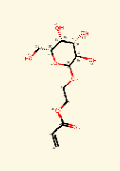 C=CC(=O)OCCO[C@H]1O[C@H](CO)[C@H](O)[C@H](O)[C@H]1O